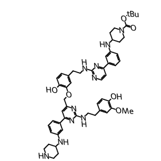 COc1cc(CCNc2nc(COc3cc(CCNc4nccc(-c5cccc(NC6CCN(C(=O)OC(C)(C)C)CC6)c5)n4)ccc3O)cc(-c3cccc(NC4CCNCC4)c3)n2)ccc1O